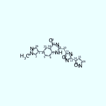 Cn1cc(-c2ccc3[nH]c(Cc4nc(-c5ccno5)no4)nc(=O)c3c2)cn1